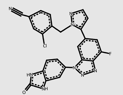 N#Cc1ccc(Cn2nccc2-c2cc(F)c3nnn(-c4ccc5[nH]c(=O)[nH]c5c4)c3c2)c(Cl)c1